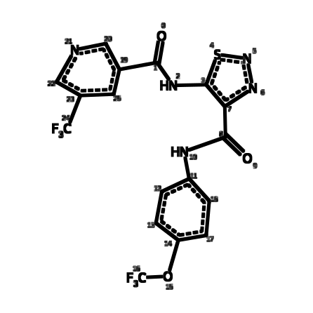 O=C(Nc1snnc1C(=O)Nc1ccc(OC(F)(F)F)cc1)c1cncc(C(F)(F)F)c1